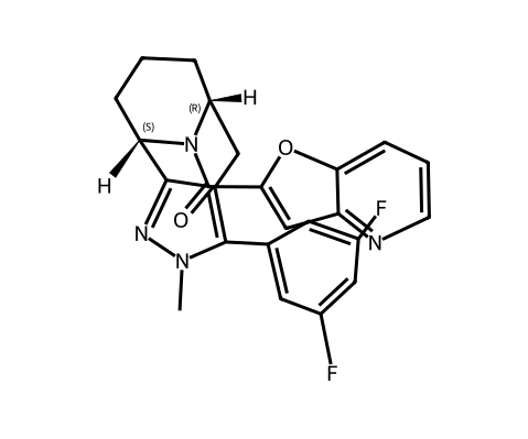 Cn1nc2c(c1-c1cc(F)cc(F)c1)C[C@H]1CCC[C@@H]2N1C(=O)c1cc2ncccc2o1